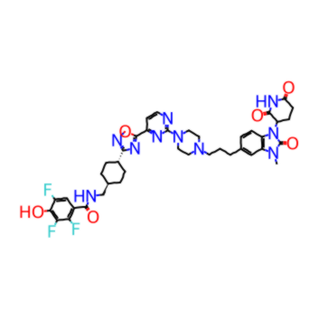 Cn1c(=O)n(C2CCC(=O)NC2=O)c2ccc(CCCN3CCN(c4nccc(-c5nc([C@H]6CC[C@H](CNC(=O)c7cc(F)c(O)c(F)c7F)CC6)no5)n4)CC3)cc21